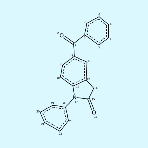 O=C(c1ccccc1)c1ccc2c(c1)CC(=O)N2c1ccccc1